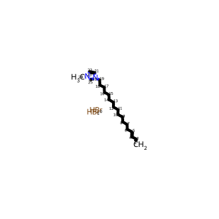 Br.Br.C=CC=CCCCCCCCCCCCCCCN1C=CN(C)C1